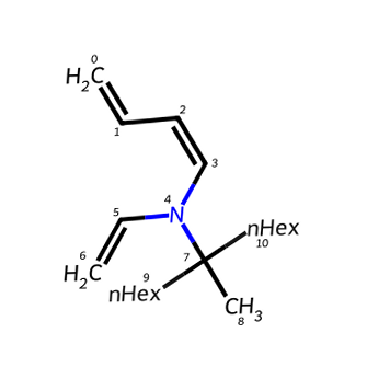 C=C/C=C\N(C=C)C(C)(CCCCCC)CCCCCC